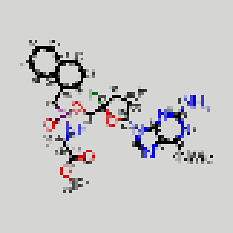 CNc1nc(N)nc2c1ncn2[C@@H]1O[C@](F)(COP(=O)(Cc2cccc3ccccc23)N[C@@H](C)C(=O)OC(C)C)C[C@@H]1C